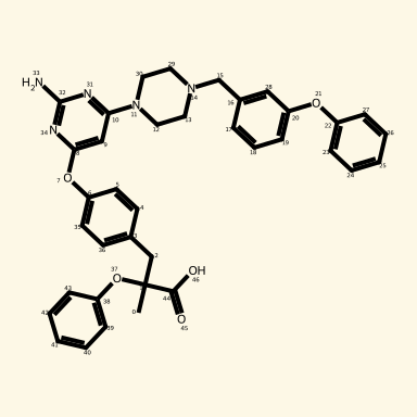 CC(Cc1ccc(Oc2cc(N3CCN(Cc4cccc(Oc5ccccc5)c4)CC3)nc(N)n2)cc1)(Oc1ccccc1)C(=O)O